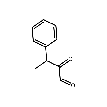 CC(C(=O)C=O)c1ccccc1